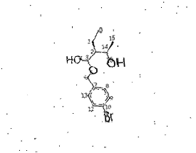 CC[C@H](C(O)OCc1ccc(Br)cc1)[C@@H](C)O